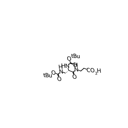 CC(C)(C)OC(=O)NC[C@H](NC(=O)OC(C)(C)C)C(=O)NCCC(=O)O